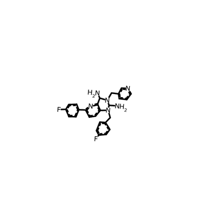 NC1c2nc(-c3ccc(F)cc3)ccc2N(Cc2ccc(F)cc2)C(N)N1Cc1cccnc1